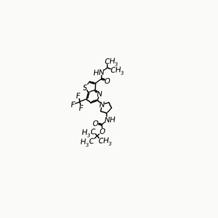 CC(C)NC(=O)c1csc2c(C(F)(F)F)cc(N3CCC(NC(=O)OC(C)(C)C)C3)nc12